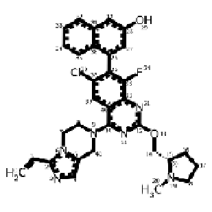 C=Cc1ncc2n1CCN(c1nc(OC[C@@H]3CCCN3C)nc3c(F)c(-c4cc(O)cc5ccccc45)c(Cl)cc13)C2